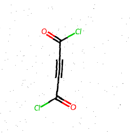 O=C(Cl)C#CC(=O)Cl